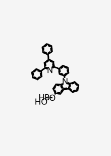 OBOc1ccc2c(c1)c1ccccc1n2-c1cccc(-c2cc(-c3ccccc3)cc(-c3ccccc3)n2)c1